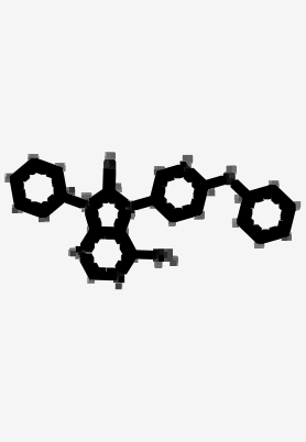 Nc1ncnc2c1n(-c1ccc(Oc3ccccc3)nc1)c(=O)n2-c1c[c]ccc1